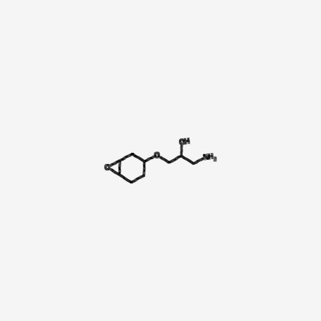 NCC(O)COC1CCC2OC2C1